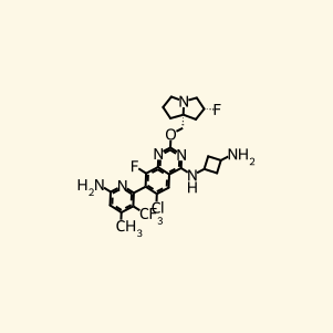 Cc1cc(N)nc(-c2c(Cl)cc3c(NC4CC(N)C4)nc(OC[C@]45CCCN4C[C@H](F)C5)nc3c2F)c1C(F)(F)F